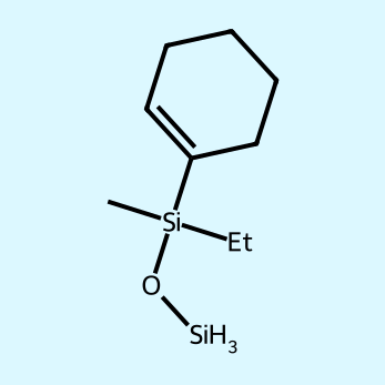 CC[Si](C)(O[SiH3])C1=CCCCC1